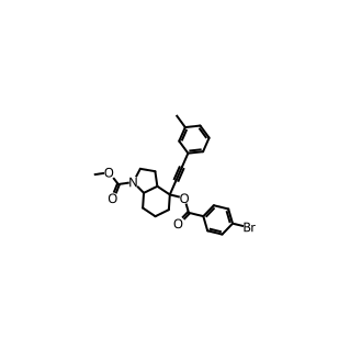 COC(=O)N1CCC2C1CCCC2(C#Cc1cccc(C)c1)OC(=O)c1ccc(Br)cc1